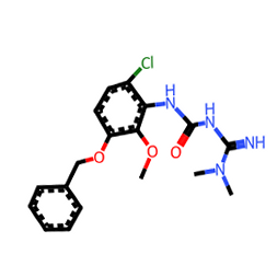 COc1c(OCc2ccccc2)ccc(Cl)c1NC(=O)NC(=N)N(C)C